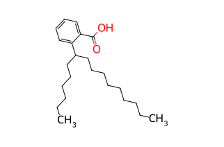 CCCCCCCCCC(CCCCCC)c1ccccc1C(=O)O